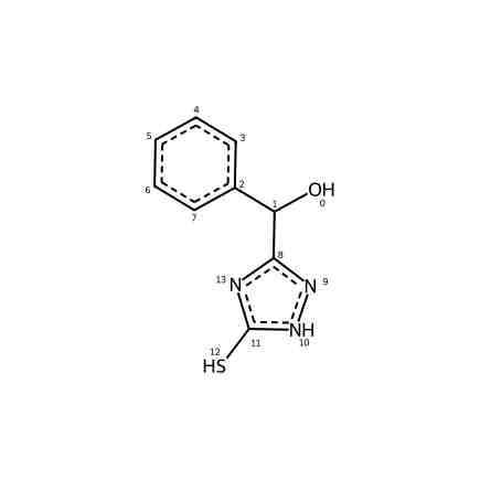 OC(c1ccccc1)c1n[nH]c(S)n1